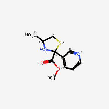 CCCCOC(=O)C1(c2cccnc2)NC(C(=O)O)CS1